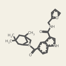 CC1(C)CC2CC(C)(CN2C(=O)c2ccc3[nH]cc(C(=O)NCc4ccco4)c3c2)C1